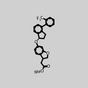 COC(=O)CC1COc2cc(O[C@@H]3CCc4c(-c5ccccc5C(F)(F)F)cccc43)ccc21